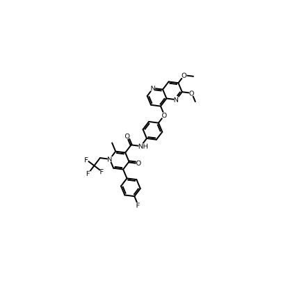 COc1cc2nccc(Oc3ccc(NC(=O)c4c(C)n(CC(F)(F)F)cc(-c5ccc(F)cc5)c4=O)cc3)c2nc1OC